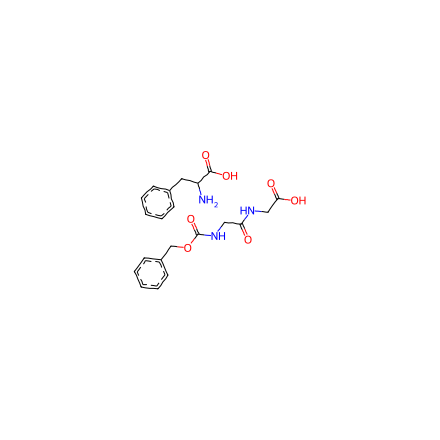 NC(Cc1ccccc1)C(=O)O.O=C(O)CNC(=O)CNC(=O)OCc1ccccc1